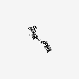 COc1cccc(F)c1C1=NCc2cnc(Nc3cccc(C(=O)NCCOCCC(=O)N4CCC5(CC4)COc4cc6c(cc45)C(=O)N(C4CCC(=O)NC4=O)C6=O)c3OC)nc2-c2ccc(Cl)cc21